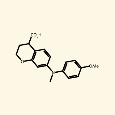 COc1ccc(N(C)c2ccc3c(c2)OCCC3C(=O)O)cc1